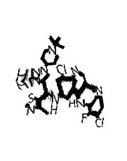 Cc1ncsc1[C@H](Nc1cc(Cl)c2ncc(C#N)c(Nc3cccc(Cl)c3F)c2c1)C1=CN(C2CCN(C(C)(C)C)CC2)NN1